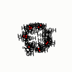 CC1CCC(C(C)C)C(O)C1.OC[C@H]1O[C@@H]2O[C@H]3[C@H](O)[C@@H](O)[C@@H](O[C@H]4[C@H](O)[C@@H](O)[C@@H](O[C@H]5[C@H](O)[C@@H](O)[C@@H](O[C@H]6[C@H](O)[C@@H](O)[C@@H](O[C@H]7[C@H](O)[C@@H](O)[C@@H](O[C@H]8[C@H](O)[C@@H](O)[C@@H](O[C@H]1[C@H](O)[C@H]2O)O[C@@H]8CO)O[C@@H]7CO)O[C@@H]6CO)O[C@@H]5CO)O[C@@H]4CO)O[C@@H]3CO